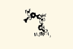 CC(=O)N1CC(c2ccc(OC(F)F)c(OCC3CC3)c2)C[C@@H]1C(=O)OCc1cccc(C(=O)N(C)C)n1